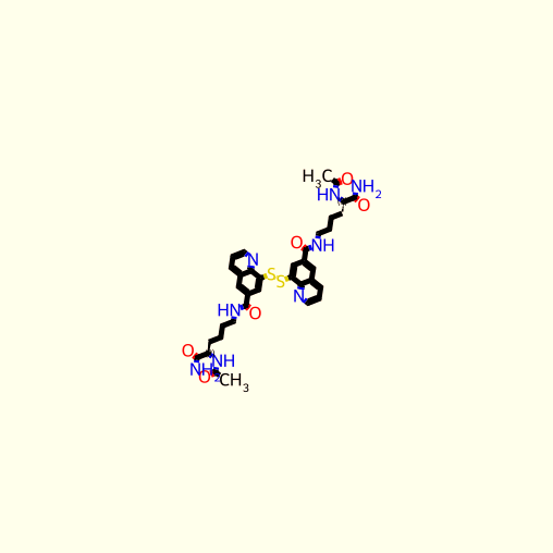 CC(=O)N[C@@H](CCCCNC(=O)c1cc(SSc2cc(C(=O)NCCCC[C@@H](NC(C)=O)C(N)=O)cc3cccnc23)c2ncccc2c1)C(N)=O